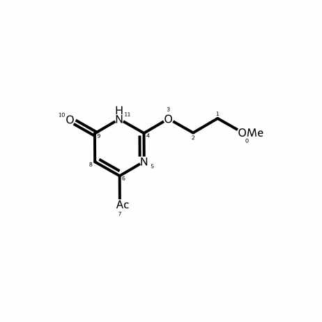 COCCOc1nc(C(C)=O)cc(=O)[nH]1